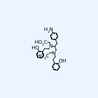 Nc1ccc(CC(CN(CCc2ccccc2O)CC(=O)O)N(CCc2ccccc2O)CC(=O)O)cc1